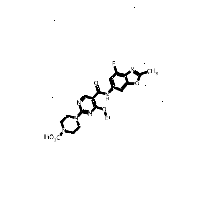 CCOc1nc(N2CCN(C(=O)O)CC2)ncc1C(=O)Nc1cc(F)c2nc(C)oc2c1